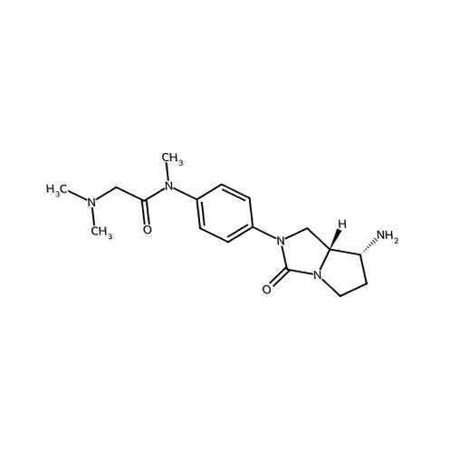 CN(C)CC(=O)N(C)c1ccc(N2C[C@@H]3[C@H](N)CCN3C2=O)cc1